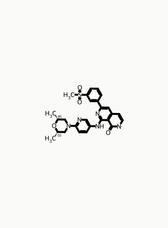 C[C@@H]1CN(c2ccc(Nc3nc(-c4cccc(S(C)(=O)=O)c4)cc4c3C(=O)[N]C=C4)cn2)C[C@H](C)O1